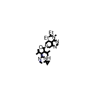 C=C(C)/C(C(C(=O)N1CCc2c(ncnc2N(C)C(CC)CC)C1)=C(C)C)=C(\N=C/C)NC1(C)CC1